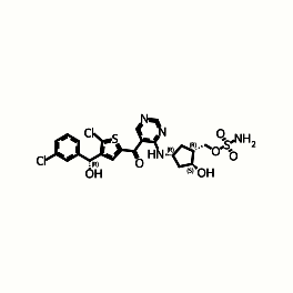 NS(=O)(=O)OC[C@H]1C[C@@H](Nc2ncncc2C(=O)c2cc([C@H](O)c3cccc(Cl)c3)c(Cl)s2)C[C@@H]1O